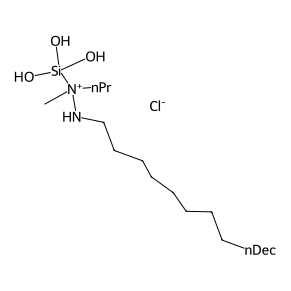 CCCCCCCCCCCCCCCCCCN[N+](C)(CCC)[Si](O)(O)O.[Cl-]